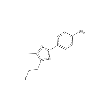 Bc1ccc(-c2nc(CCI)c(C)o2)cc1